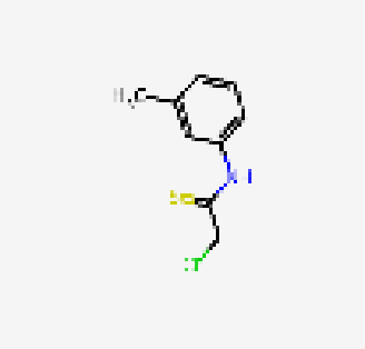 Cc1cccc(NC(=S)CCl)c1